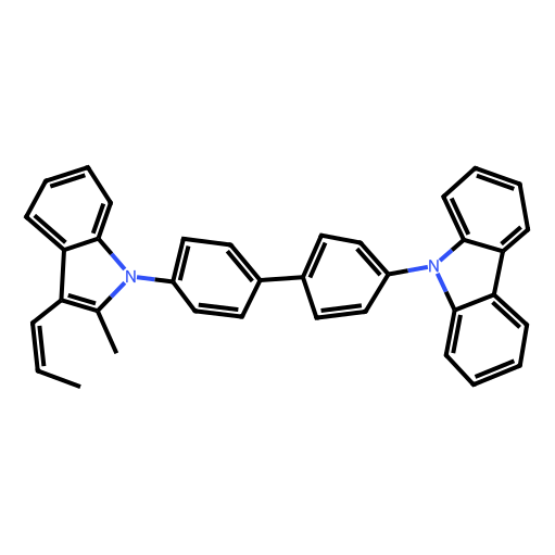 C/C=C\c1c(C)n(-c2ccc(-c3ccc(-n4c5ccccc5c5ccccc54)cc3)cc2)c2ccccc12